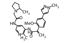 C=C(C(=O)Nc1cc(NC(=O)CN2CCCC2C)cnc1C)c1ccc(-c2cnn(C)c2)cc1OC